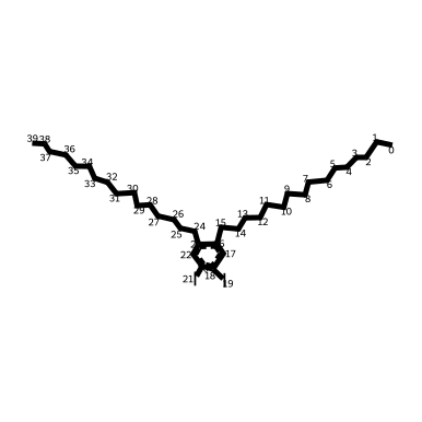 CCCCCCCCCCCCCCCCc1cc(I)c(I)cc1CCCCCCCCCCCCCCCC